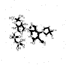 CC1(C)O[C@@H]2[C@H](O1)[C@@H](CS(=O)(=O)CP(=O)(O)O)O[C@H]2n1ncc2c(N3CCC(F)(F)C3)c(C#N)c(Cl)nc21